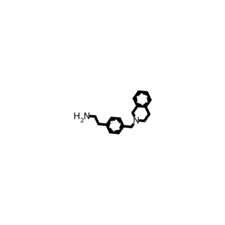 NCCc1ccc(CN2CCc3ccccc3C2)cc1